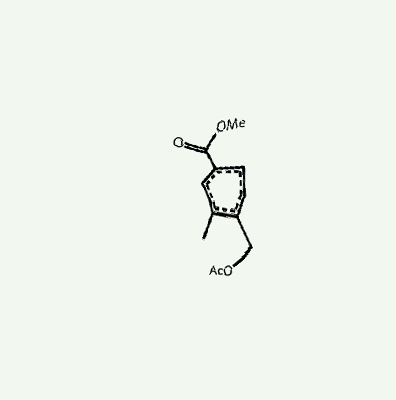 COC(=O)c1ccc(COC(C)=O)c(C)c1